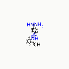 C#Cc1ccccc1N/N=N/c1ccc(C(=N)N)cc1